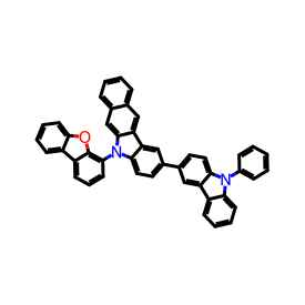 c1ccc(-n2c3ccccc3c3cc(-c4ccc5c(c4)c4cc6ccccc6cc4n5-c4cccc5c4oc4ccccc45)ccc32)cc1